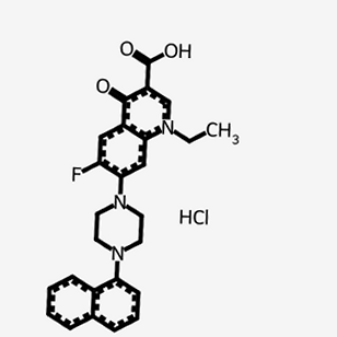 CCn1cc(C(=O)O)c(=O)c2cc(F)c(N3CCN(c4cccc5ccccc45)CC3)cc21.Cl